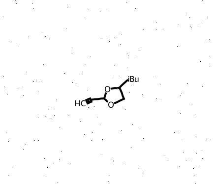 C#CC1OCC(C(C)CC)O1